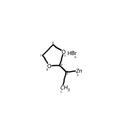 Br.C[CH]([Zn])C1OCCO1